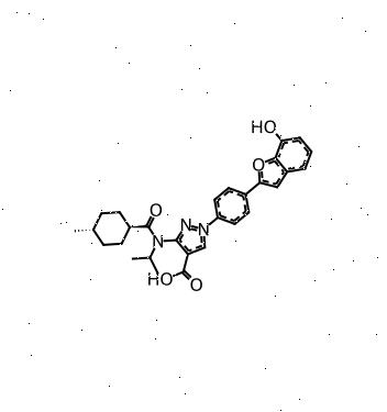 CC(C)N(c1nn(-c2ccc(-c3cc4cccc(O)c4o3)cc2)cc1C(=O)O)C(=O)[C@H]1CC[C@H](C)CC1